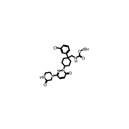 CC(C)(C)OC(=O)NCC1(c2cccc(Cl)c2)CCC(n2nc(N3CCNC(=O)C3)ccc2=O)CC1